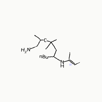 C/C=C(\C)NC(CCCC)CC(C)(C)CC(C)CN